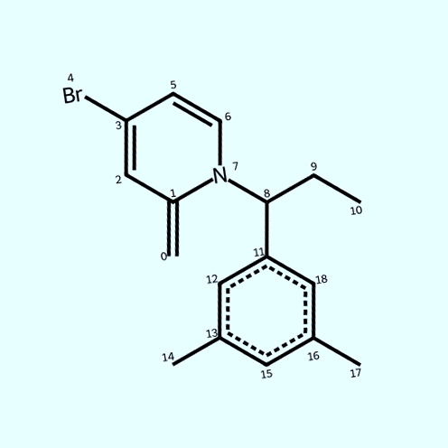 C=C1C=C(Br)C=CN1C(CC)c1cc(C)cc(C)c1